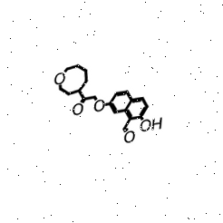 O=Cc1c(O)ccc2ccc(OCC(=O)C3CCCCOCC3)cc12